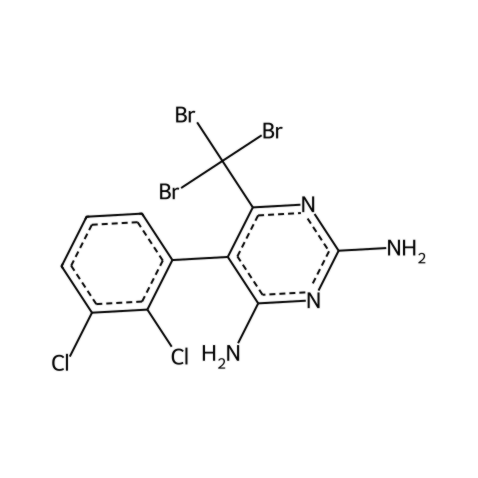 Nc1nc(N)c(-c2cccc(Cl)c2Cl)c(C(Br)(Br)Br)n1